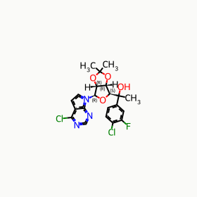 CC1(C)O[C@@H]2[C@H](O1)[C@@H](C(C)(O)c1ccc(Cl)c(F)c1)O[C@H]2n1ccc2c(Cl)ncnc21